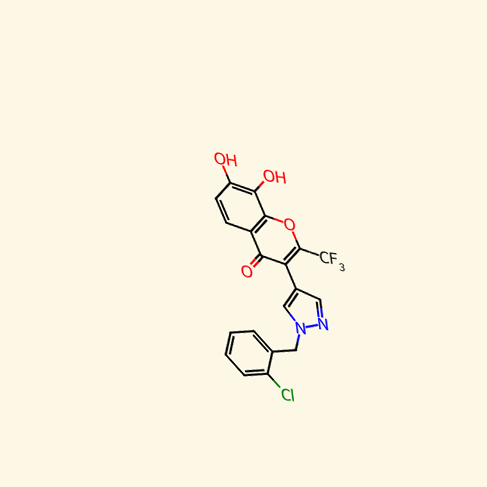 O=c1c(-c2cnn(Cc3ccccc3Cl)c2)c(C(F)(F)F)oc2c(O)c(O)ccc12